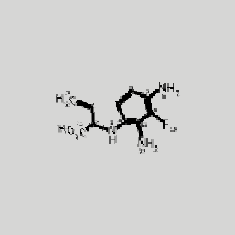 C=CC(Nc1ccc(N)c(F)c1N)C(=O)O